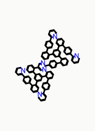 c1ccc(-c2ccc(-c3ccccc3-c3cc(-c4ccccc4-c4ccc(-c5ccccn5)cc4)cc(-c4ccccc4-c4ccc(-c5ncc(-c6ccccc6-c6cc(-c7ccccc7-c7ccc(-c8ccccn8)cc7)cc(-c7ccccc7-c7ccc(-c8ccccn8)cc7)c6)cn5)cc4)c3)cc2)nc1